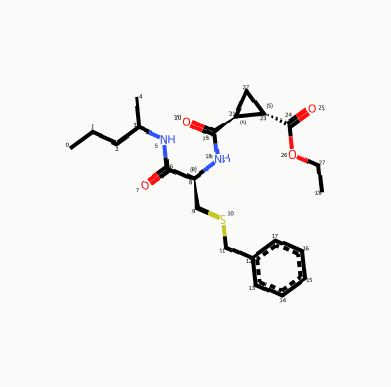 CCCC(C)NC(=O)[C@H](CSCc1ccccc1)NC(=O)[C@H]1C[C@@H]1C(=O)OCC